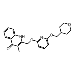 Cc1c(COc2cccc(OCC3CCOCC3)n2)[nH]c2ccccc2c1=O